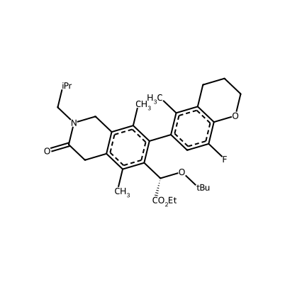 CCOC(=O)[C@@H](OC(C)(C)C)c1c(C)c2c(c(C)c1-c1cc(F)c3c(c1C)CCCO3)CN(CC(C)C)C(=O)C2